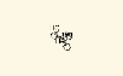 CC(C)(C)C(O[SiH](c1ccccc1)c1ccccc1)[C@H]1CCCC[C@H]1CO